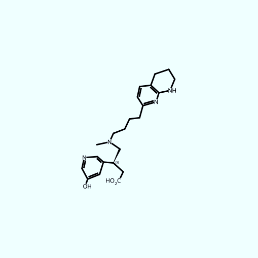 CN(CCCCc1ccc2c(n1)NCCC2)C[C@@H](CC(=O)O)c1cncc(O)c1